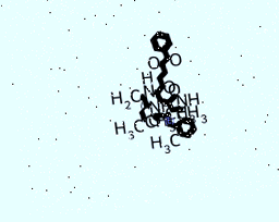 C=C(NC(CC1CCNC1=O)C(=O)CCC(=O)C(=O)c1ccccc1)[C@H](CC(C)C)NC(=O)/C(C)=C/c1c(C)cccc1C